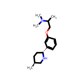 CC(COc1cccc([C@H]2CC[C@H](C)CN2)c1)N(C)C